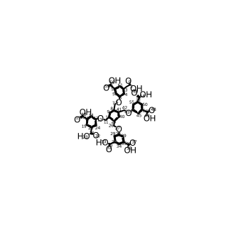 O=C(O)c1cc(OCc2cc(COc3cc(C(=O)O)cc(C(=O)O)c3)c(COc3cc(C(=O)O)cc(C(=O)O)c3)cc2COc2cc(C(=O)O)cc(C(=O)O)c2)cc(C(=O)O)c1